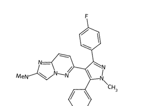 CNc1cn2nc(-c3c(-c4ccc(F)cc4)nn(C)c3-c3ccncc3)ccc2n1